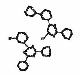 Brc1cccc(-c2nc(-c3ccccc3)nc(-c3ccccc3)n2)c1.Clc1cc(-c2cccc(-c3ccncc3)c2)nc(-c2ccccc2)n1